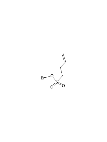 C=CCCS(=O)(=O)OBr